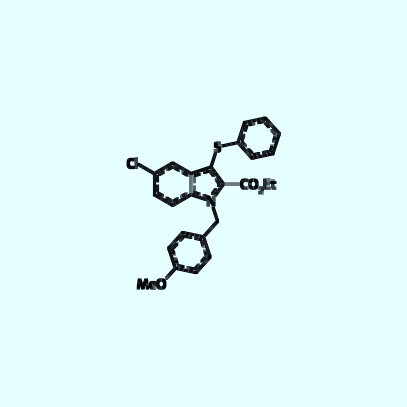 CCOC(=O)c1c(Sc2ccccc2)c2cc(Cl)ccc2n1Cc1ccc(OC)cc1